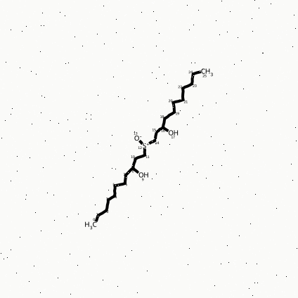 CCCCCCCCC(O)CC[S+]([O-])CCC(O)CCCCCCCC